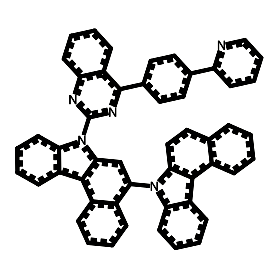 c1ccc(-c2ccc(-c3nc(-n4c5ccccc5c5c6ccccc6c(-n6c7ccccc7c7c8ccccc8ccc76)cc54)nc4ccccc34)cc2)nc1